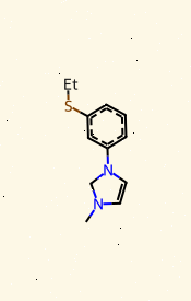 CCSc1cccc(N2C=CN(C)C2)c1